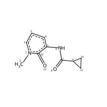 Cn1cccc(NC(=O)C2CC2)c1=O